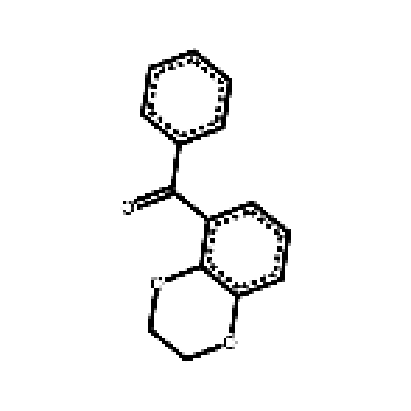 O=C(c1ccccc1)c1cccc2c1OCCO2